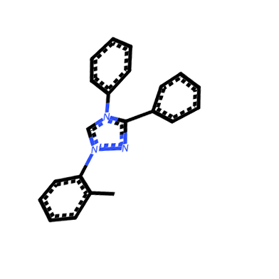 Cc1ccccc1-[n+]1cn(-c2ccccc2)c(-c2ccccc2)n1